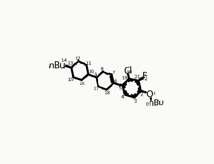 CCCCOc1ccc(C2=CCC(C3CCC(CCCC)CC3)CC2)c(Cl)c1F